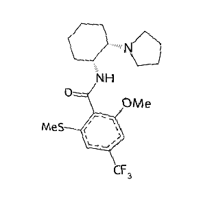 COc1cc(C(F)(F)F)cc(SC)c1C(=O)N[C@@H]1CCCC[C@@H]1N1CCCC1